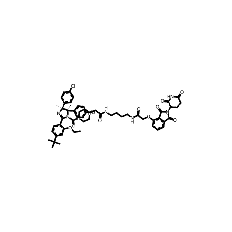 CCOc1cc(C(C)(C)C)ccc1C1=N[C@@](C)(c2ccc(Cl)cc2)[C@@](C)(c2ccc(Cl)cc2)N1C(=O)N1CCN(CC(=O)NCCCCNC(=O)COc2cccc3c2C(=O)N(C2CCC(=O)NC2=O)C3=O)CC1